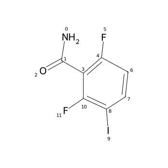 NC(=O)c1c(F)ccc(I)c1F